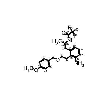 COc1ccc(COCCc2c(N)cccc2C[C@@H](C)NC(=O)C(F)(F)F)cc1